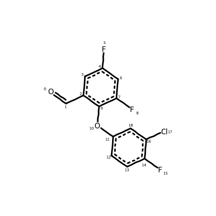 O=Cc1cc(F)cc(F)c1Oc1ccc(F)c(Cl)c1